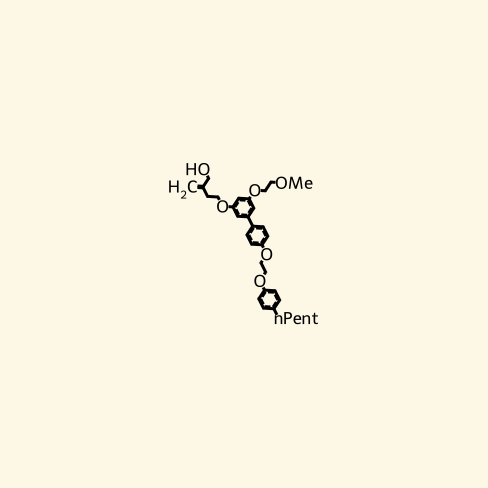 C=C(CO)CCOc1cc(OCCOC)cc(-c2ccc(OCCOc3ccc(CCCCC)cc3)cc2)c1